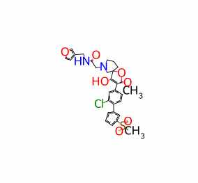 Cc1cc(-c2cccc(S(C)(=O)=O)c2)c(Cl)cc1C1=C(O)C2(CCCN(CC(=O)NCc3ccoc3)C2)OC1=O